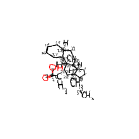 CC(=O)O.CC[C@H]1CC[C@H]2[C@@H]3CC[C@@H]4CCCC[C@]4(C)[C@H]3CC[C@]12C